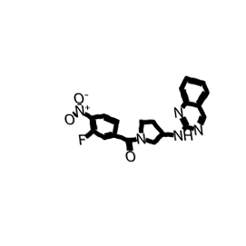 O=C(c1ccc([N+](=O)[O-])c(F)c1)N1CCC(Nc2ncc3ccccc3n2)C1